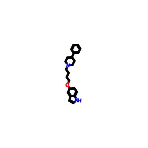 C1=C(c2ccccc2)CCN(CCCCOc2ccc3[nH]ccc3c2)C1